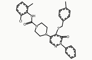 Cc1ccc(CSc2c(N3CCN(C(=O)Nc4c(C)cccc4Cl)CC3)cnn(-c3ccccc3)c2=O)cc1